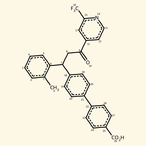 Cc1ccccc1C(CC(=O)c1ccnc(C(F)(F)F)c1)c1ccc(-c2ccc(C(=O)O)cc2)cc1